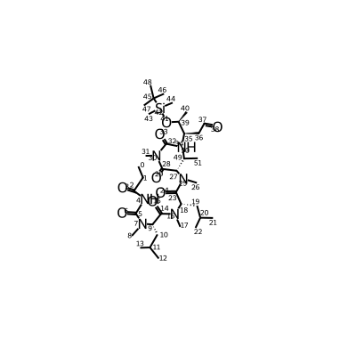 CCC(=O)NC(=O)N(C)[C@@H](CC(C)C)C(=O)N(C)[C@@H](CC(C)C)C(=O)N(C)[C@H](C(=O)N(C)C(=O)N[C@H](CC=O)[C@H](C)O[Si](C)(C)C(C)(C)C)C(C)C